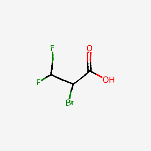 O=C(O)C(Br)C(F)F